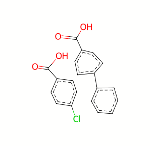 O=C(O)c1ccc(-c2ccccc2)cc1.O=C(O)c1ccc(Cl)cc1